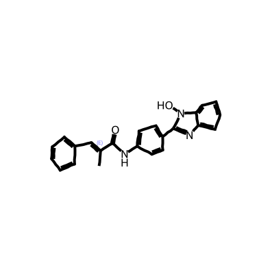 C/C(=C\c1ccccc1)C(=O)Nc1ccc(-c2nc3ccccc3n2O)cc1